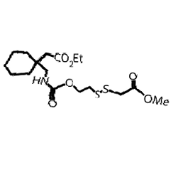 CCOC(=O)CC1(CNC(=O)OCCSSCC(=O)OC)CCCCC1